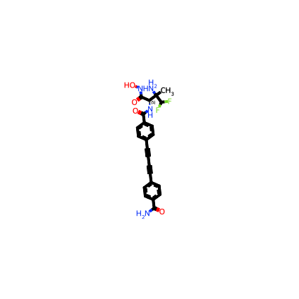 CC(N)(C(F)F)[C@H](NC(=O)c1ccc(C#CC#Cc2ccc(C(N)=O)cc2)cc1)C(=O)NO